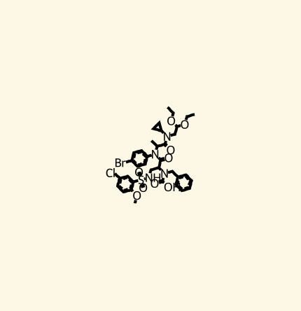 CCOC(CN(C(=O)C(C)N(C(=O)C(CNS(=O)(=O)c1cc(Cl)ccc1OC)N(Cc1ccccc1)C(=O)O)c1ccc(Br)cc1)C1CC1)OCC